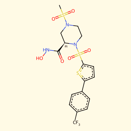 CS(=O)(=O)N1CCN(S(=O)(=O)c2ccc(-c3ccc(C(F)(F)F)cc3)s2)[C@@H](C(=O)NO)C1